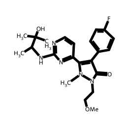 COCCn1c(=O)c(-c2ccc(F)cc2)c(-c2ccnc(NC(C)C(C)(C)O)n2)n1C